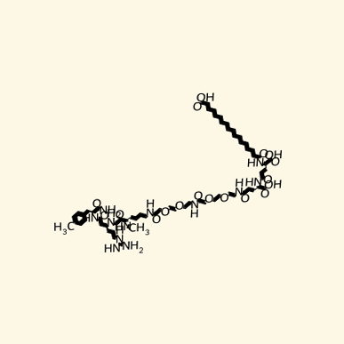 CN[C@@H](CCCCNC(=O)COCCOCCNC(=O)COCCOCCNC(=O)CC[C@H](NC(=O)CC[C@H](NC(=O)CCCCCCCCCCCCCCCCC(=O)O)C(=O)O)C(=O)O)C(=O)CN[C@@H](CCCNC(=N)N)CC(=O)N[C@@H](Cc1ccc(C)cc1)C(N)=O